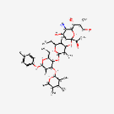 COC(=O)C1(OC2C(OC(C)=O)C(COC(C)=O)OC(OC3C(COC(C)=O)OC(Oc4ccc(C)cc4)C(C)C3OC3OC(C)C(OC(C)=O)C(OC(C)=O)C3OC(C)=O)C2OC(C)=O)CC(O)C(N)C([C@H](O)[C@@H](CO)OC(C)=O)O1